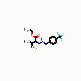 CCOC(=O)C(CNCc1ccc(C(F)(F)F)cc1)C(C)C